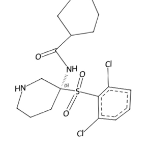 O=C(N[C@]1(S(=O)(=O)c2c(Cl)cccc2Cl)CCCNC1)C1CCCCC1